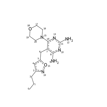 CCCc1cc(Cc2c(N)nc(N)nc2N2CCOCC2)on1